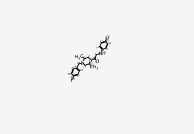 CC1CN(C(=O)CNc2ccc(Cl)cc2)C(C)CN1Cc1ccc(F)cc1